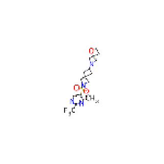 Cc1nc(C(F)(F)F)ncc1S(=O)(=O)N1CC2(CC(N3CC4(CCO4)C3)C2)C1